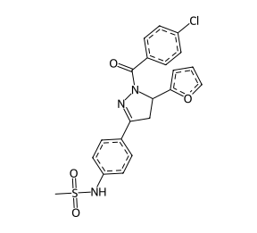 CS(=O)(=O)Nc1ccc(C2=NN(C(=O)c3ccc(Cl)cc3)C(c3ccco3)C2)cc1